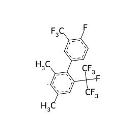 Cc1[c]c(C)c(-c2ccc(F)c(C(F)(F)F)c2)c(C(F)(C(F)(F)F)C(F)(F)F)c1